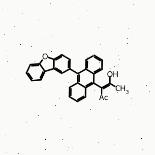 CC(=O)C(=C(C)O)c1c2ccccc2c(-c2ccc3oc4ccccc4c3c2)c2ccccc12